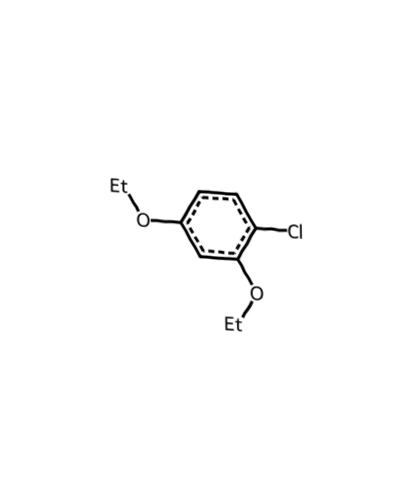 CCOc1ccc(Cl)c(OCC)c1